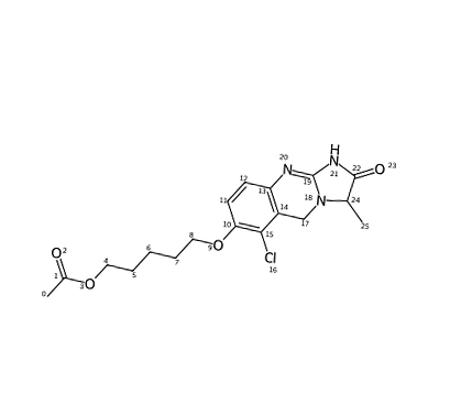 CC(=O)OCCCCCOc1ccc2c(c1Cl)CN1C(=N2)NC(=O)C1C